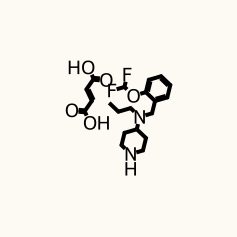 CCCN(Cc1ccccc1OC(F)F)C1CCNCC1.O=C(O)C=CC(=O)O